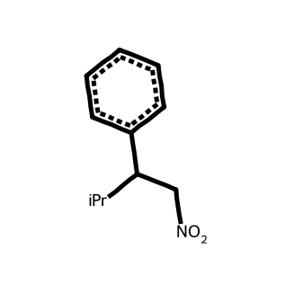 CC(C)C(C[N+](=O)[O-])c1ccccc1